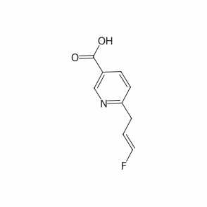 O=C(O)c1ccc(CC=CF)nc1